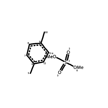 COS(=O)(=O)OC.Cc1ccc(C)cc1